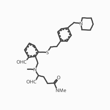 CNC(=O)CCC(C=O)N(C)Cc1c(C=O)cccc1SCCc1ccc(CN2CCCCC2)cc1